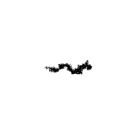 COc1ccc(-c2ccc(CNC(=O)CC(C)(C)OCCC(C)(C)n3cc(CNCC(C)(C)NC(=O)CCS)nn3)o2)c2[nH]cc(C(=O)C(=O)N3CCN(C(=O)c4ccccc4)CC3)c12